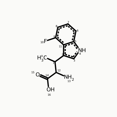 CC(c1c[nH]c2cccc(F)c12)C(N)C(=O)O